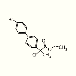 CCOC(=O)C(C)(Cl)c1ccc(-c2ccc(Br)cc2)cc1